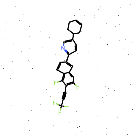 Fc1cc2cc(-c3ccc(C4CC=CCC4)cn3)ccc2c(F)c1C#CC(F)(F)F